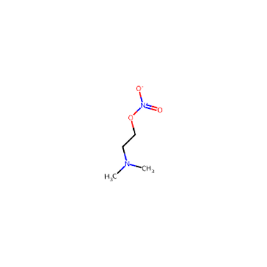 CN(C)CCO[N+](=O)[O-]